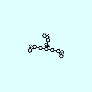 c1ccc2c(c1)oc1ccc(-c3ccc(-c4ccc(-c5ccc(-c6ccc7oc8ccccc8c7c6)cc5)c5sc(-c6ccc7sc8ccccc8c7c6)nc45)cc3)cc12